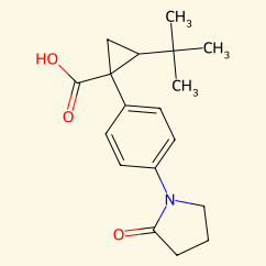 CC(C)(C)C1CC1(C(=O)O)c1ccc(N2CCCC2=O)cc1